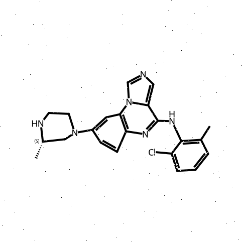 Cc1cccc(Cl)c1Nc1nc2ccc(N3CCN[C@@H](C)C3)cc2n2cncc12